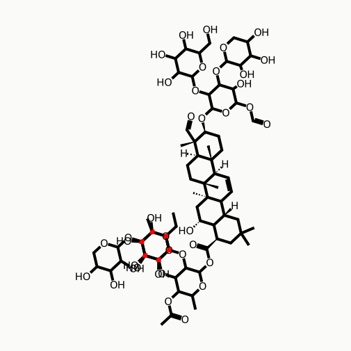 CCC1OC(OC2C(OC(C)=O)C(C)OC(OC(=O)[C@@H]3CC(C)(C)C[C@@H]4C3[C@H](O)C[C@]3(C)C4C=C[C@@H]4[C@@]5(C)CC[C@H](OC6OC(OC=O)C(O)C(OC7OCC(O)C(O)C7O)C6OC6OC(CO)C(O)C(O)C6O)[C@@](C)(C=O)[C@@H]5CC[C@]43C)C2OC2OC(C)C(OC3OCC(O)C(O)C3O)C(O)C2O)C(O)C(O)C1O